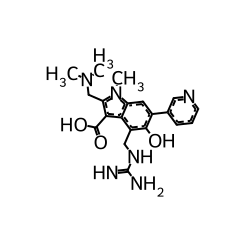 CN(C)Cc1c(C(=O)O)c2c(CNC(=N)N)c(O)c(-c3cccnc3)cc2n1C